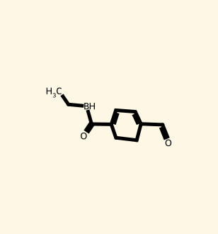 CCBC(=O)C1=CC=C(C=O)CC1